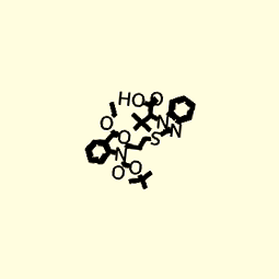 CCOC(=O)c1ccccc1N(CCCSc1nc2ccccc2n1C(C(=O)O)C(C)(C)C)C(=O)OC(C)(C)C